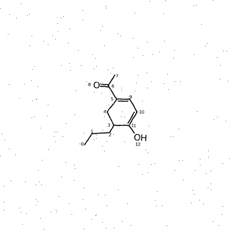 CCCC1CC(C(C)=O)=CC=C1O